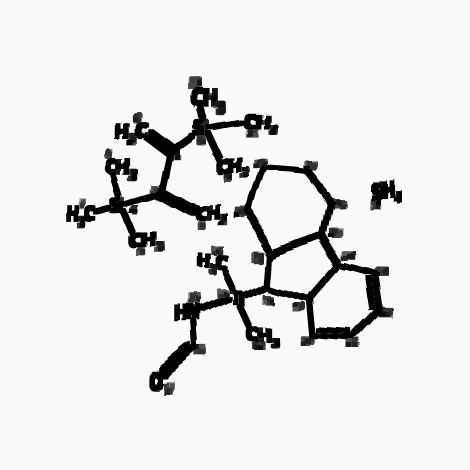 C=C(C(=C)[Si](C)(C)C)[Si](C)(C)C.[CH3][Ti]([CH3])([NH]C=O)[CH]1C2C=CC=CC2C2CCCCC21.[SiH4]